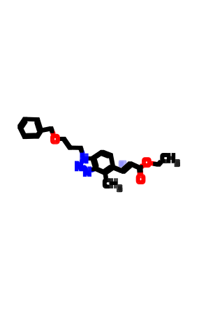 CCOC(=O)/C=C/c1ccc2c(nnn2CCCOCc2ccccc2)c1C